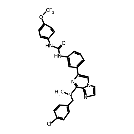 CN(Cc1ccc(Cl)cc1)c1nc(-c2cccc(NC(=O)Nc3ccc(OC(F)(F)F)cc3)c2)cn2ccnc12